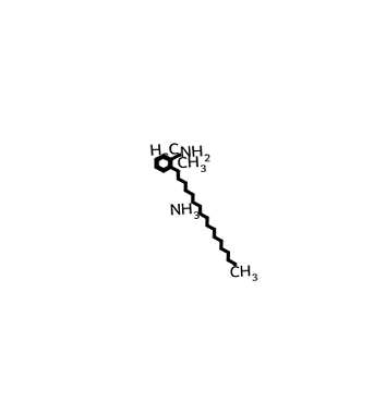 CCCCCCCCCCCCCCCCCCc1ccccc1C(C)(C)N.N